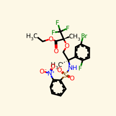 CCOC(=O)[C@@](C)(OC[C@](C)(NS(=O)(=O)c1ccccc1[N+](=O)[O-])c1cc(Br)ccc1F)C(F)(F)F